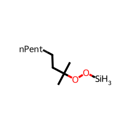 CCCCCCCC(C)(C)OO[SiH3]